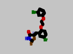 O=C1NC(=S)S/C1=C\c1cc(Br)ccc1OCCOc1cccc(Br)c1